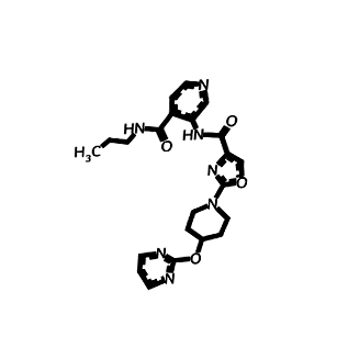 CCCNC(=O)c1ccncc1NC(=O)c1coc(N2CCC(Oc3ncccn3)CC2)n1